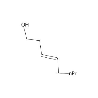 CCC[CH]C=CCCO